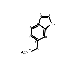 CC(=O)NCc1ccc2ncsc2c1